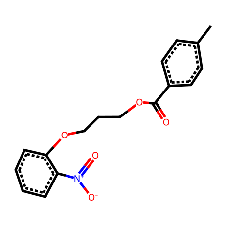 Cc1ccc(C(=O)OCCCOc2ccccc2[N+](=O)[O-])cc1